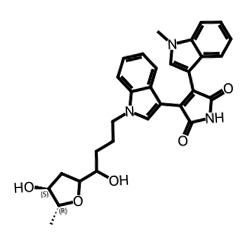 C[C@H]1OC(C(O)CCCn2cc(C3=C(c4cn(C)c5ccccc45)C(=O)NC3=O)c3ccccc32)C[C@@H]1O